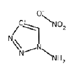 NN1C=[C+]N=N1.O=[N+]([O-])[O-]